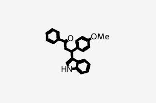 COc1ccc(C(CC(=O)c2ccccc2)c2c[nH]c3ccccc23)cc1